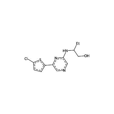 CCC(CO)Nc1cncc(-c2ccc(Cl)s2)n1